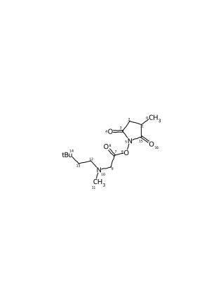 CC1CC(=O)N(OC(=O)CN(C)CCC(C)(C)C)C1=O